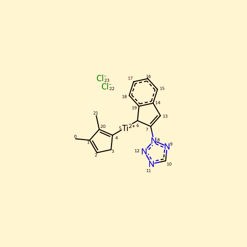 CC1=CC[C]([Ti+2][CH]2C(n3ncnn3)=Cc3ccccc32)=C1C.[Cl-].[Cl-]